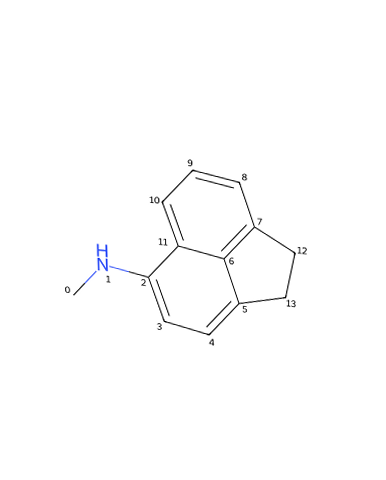 CNc1ccc2c3c(cccc13)CC2